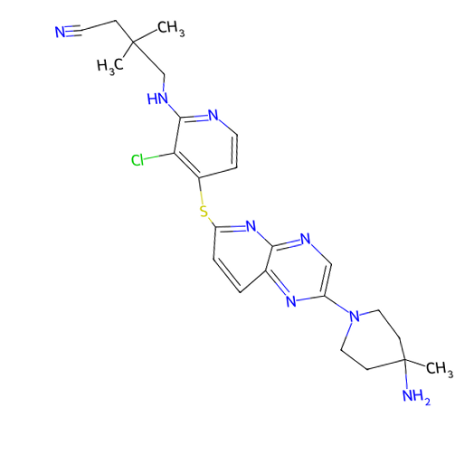 CC(C)(CC#N)CNc1nccc(Sc2ccc3nc(N4CCC(C)(N)CC4)cnc3n2)c1Cl